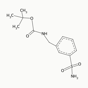 CC(C)(C)OC(=O)NCc1cccc(S(N)(=O)=O)c1